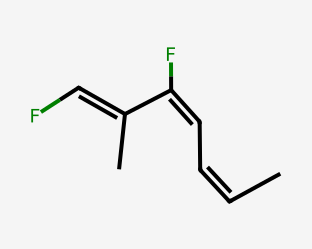 C\C=C/C=C(F)\C(C)=C\F